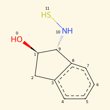 O[C@@H]1Cc2ccccc2[C@H]1NS